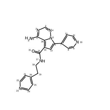 Nc1ncnn2c(-c3ccncc3)cc(C(=O)NCCc3ccncc3)c12